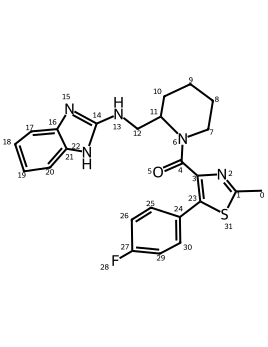 Cc1nc(C(=O)N2CCCCC2CNc2nc3ccccc3[nH]2)c(-c2ccc(F)cc2)s1